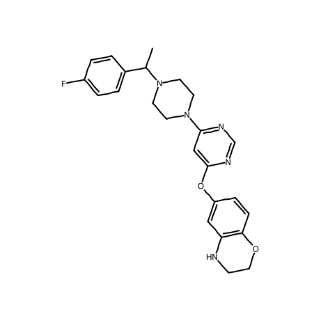 CC(c1ccc(F)cc1)N1CCN(c2cc(Oc3ccc4c(c3)NCCO4)ncn2)CC1